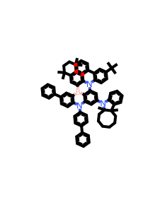 CC(C)(C)c1ccc(N2c3cc4c(cc3B3c5cc(-c6ccccc6)ccc5N(c5ccc(-c6ccccc6)cc5)c5cc(N6c7ccccc7C7(C)CCCCCCC67C)cc2c53)C(C)(C)CCC4(C)C)c(-c2ccccc2)c1